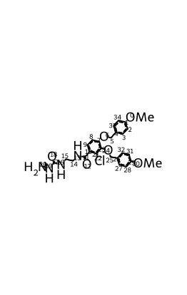 COc1ccc(COc2ccc(C(=O)NCCNC(=O)NN)c(Cl)c2OCc2ccc(OC)cc2)cc1